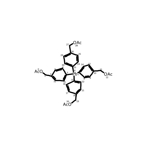 CC(=O)OCc1cc[c]([Pb]([c]2ccc(COC(C)=O)cc2)([c]2ccc(COC(C)=O)cc2)[c]2ccc(COC(C)=O)cc2)cc1